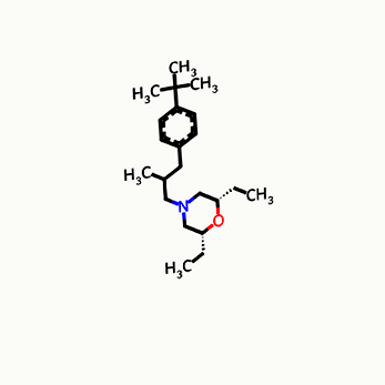 CC[C@@H]1CN(CC(C)Cc2ccc(C(C)(C)C)cc2)C[C@H](CC)O1